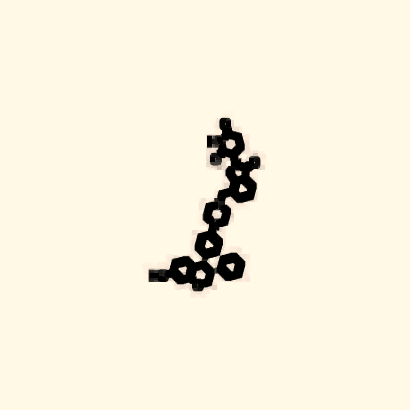 O=C1CCC(N2Cc3c(CN4CCN(c5ccc([C@H]6c7ccc(O)cc7OC[C@H]6c6ccccc6)cc5)CC4)cccc3C2=O)C(=O)N1